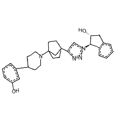 Oc1cccc(C2CCN(C34CCC(c5cn([C@@H]6c7ccccc7C[C@H]6O)nn5)(CC3)C4)CC2)c1